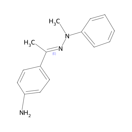 C/C(=N\N(C)c1ccccc1)c1ccc(N)cc1